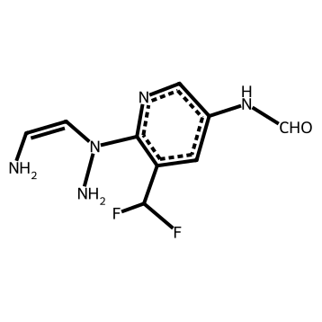 N/C=C\N(N)c1ncc(NC=O)cc1C(F)F